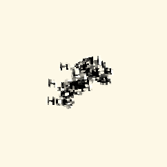 C[C@H](c1ccc(C(=O)O)cc1)N1C(=O)[C@@H]2C[C@H]1CN2C[C@H](NC(=O)OC(C)(C)C)C(=O)N1CCC[C@H]1C#N